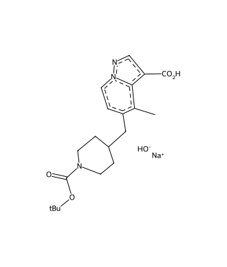 Cc1c(CC2CCN(C(=O)OC(C)(C)C)CC2)ccn2ncc(C(=O)O)c12.[Na+].[OH-]